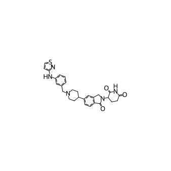 O=C1CCC(N2Cc3cc(C4CCN(Cc5cccc(Nc6ccsn6)c5)CC4)ccc3C2=O)C(=O)N1